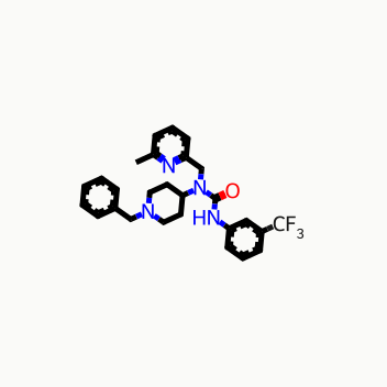 Cc1cccc(CN(C(=O)Nc2cccc(C(F)(F)F)c2)C2CCN(Cc3ccccc3)CC2)n1